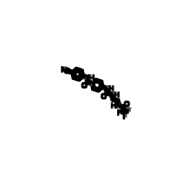 N#Cc1ccc(NC(=O)N2CCC(NC(=O)NCCNC(=O)C(F)(F)F)CC2)cc1